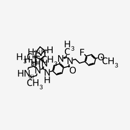 COc1ccc(CCn2c(C)nc3cc(NC(=N[C@H]4C[C@H]5C[C@@H]([C@@H]4C)C5(C)C)N4CCN[C@@H](C)C4)ccc3c2=O)c(F)c1